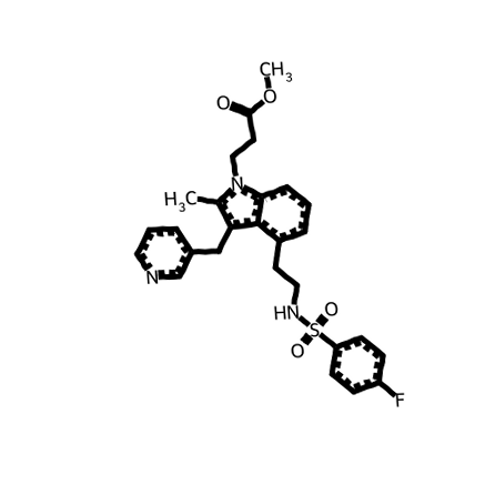 COC(=O)CCn1c(C)c(Cc2cccnc2)c2c(CCNS(=O)(=O)c3ccc(F)cc3)cccc21